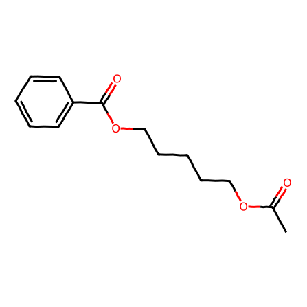 CC(=O)OCCCCCOC(=O)c1ccccc1